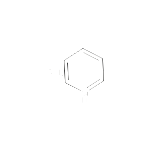 [SiH4].c1cc[siH]cc1